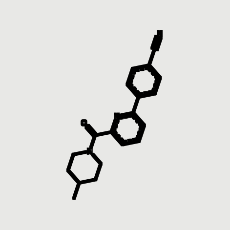 CC1CCN(C(=O)c2cccc(-c3ccc(C#N)cc3)n2)CC1